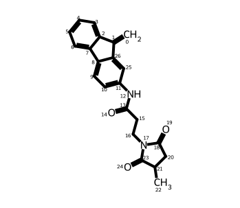 C=C1c2ccccc2-c2ccc(NC(=O)CCN3C(=O)CC(C)C3=O)cc21